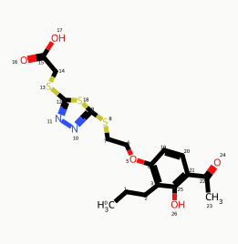 CCCc1c(OCCSc2nnc(SCC(=O)O)s2)ccc(C(C)=O)c1O